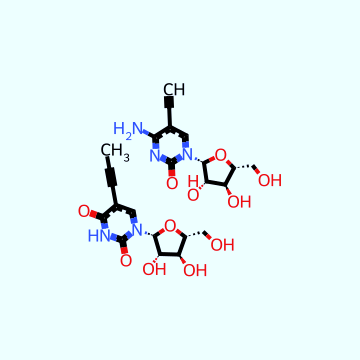 C#Cc1cn([C@@H]2O[C@H](CO)[C@@H](O)[C@@H]2O)c(=O)nc1N.CC#Cc1cn([C@@H]2O[C@H](CO)[C@@H](O)[C@@H]2O)c(=O)[nH]c1=O